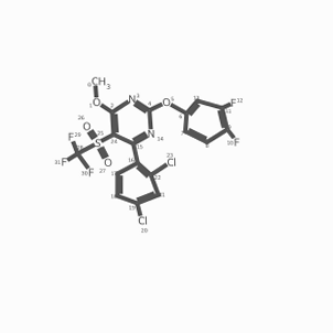 COc1nc(Oc2ccc(F)c(F)c2)nc(-c2ccc(Cl)cc2Cl)c1S(=O)(=O)C(F)(F)F